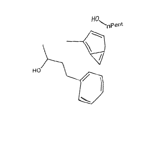 CC(O)CCc1ccccc1.CCCCCO.Cc1ccc2cc1-2